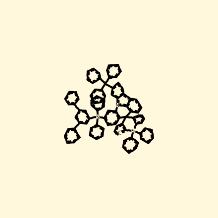 c1ccc(-c2cc(-c3ccccc3)cc([Si](c3ccccc3)(c3ccccc3)c3ccc4c(c3)-n3c5cc(C(c6ccccc6)(c6ccccc6)c6ccccc6)ccc5c5cccc(c53)C43c4ccccc4[Si](c4ccccc4)(c4ccccc4)c4ccccc43)c2)cc1